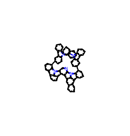 c1ccc(-n2c3ccccc3c3cc(-c4cccc5c6cccc7c8c9c%10cc%11ccccc%11c%11c%12cccc(-c%13ccc%14c(c%13)c%13ccccc%13n%14-c%13ccccc%13)c%12n(c9ncc8n(c45)c67)c%10%11)ccc32)cc1